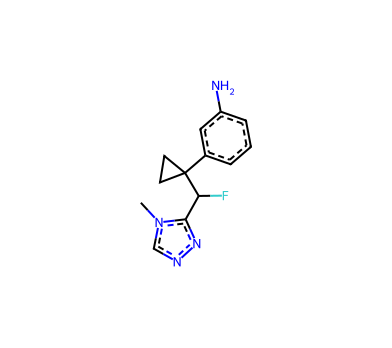 Cn1cnnc1C(F)C1(c2cccc(N)c2)CC1